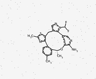 Cc1ccc2c(c1)[C@@H](C)Oc1cc(cnc1N)-c1c(cnn1C(F)F)Cc1sc(C)nc1-2